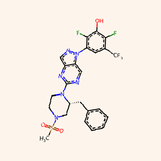 CS(=O)(=O)N1CCN(c2ncc3c(cnn3-c3cc(C(F)(F)F)c(F)c(O)c3F)n2)[C@H](Cc2ccccc2)C1